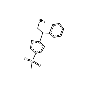 CS(=O)(=O)c1ccc(C(CN)c2ccccc2)cc1